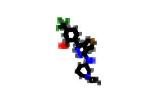 CN1CCC[C@@H](Nc2nnc(-c3ccc(C(F)(F)F)cc3O)c3cscc23)C1